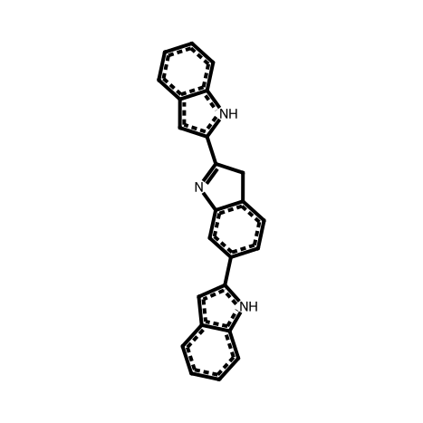 c1ccc2[nH]c(C3=Nc4cc(-c5cc6ccccc6[nH]5)ccc4C3)cc2c1